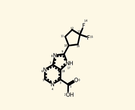 O=C(O)c1ncnc2nc(C3CCC(F)(F)C3)[nH]c12